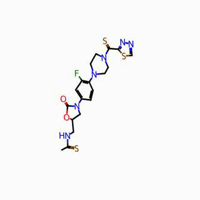 CC(=S)NCC1CN(c2ccc(N3CCN(C(=S)c4nncs4)CC3)c(F)c2)C(=O)O1